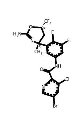 C[C@]1(c2cc(NC(=O)c3ncc(Br)cc3Cl)cc(F)c2F)C[C@@H](C(F)(F)F)OC(N)=N1